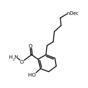 CCCCCCCCCCCCCCCC1=CCCC(O)=C1C(=O)ON